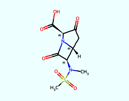 CN([C@H]1C(=O)N2[C@@H](C(=O)O)C(=O)C[C@H]12)S(C)(=O)=O